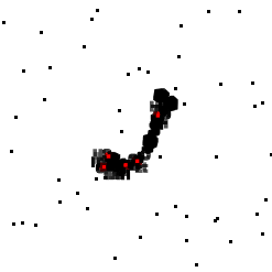 CCN(CCNCC(O[Si](C)(C)C(C)(C)C)c1ccc(O)c2[nH]c(=O)ccc12)C(=O)CCOCCc1ccc(CCN2CC3CC(OC(=O)Nc4ccccc4-c4ccccc4)C[C@@H]3C2)cc1